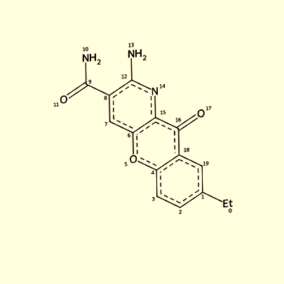 CCc1ccc2oc3cc(C(N)=O)c(N)nc3c(=O)c2c1